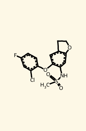 CS(=O)(=O)Nc1cc2c(cc1Oc1ccc(F)cc1Cl)CCO2